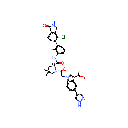 CC(=O)c1cn(CC(=O)N2C[Si](C)(C)C[C@H]2C(=O)Nc2cccc(-c3ccc4c(c3Cl)CNC4=O)c2F)c2ccc(-c3cn[nH]c3)cc12